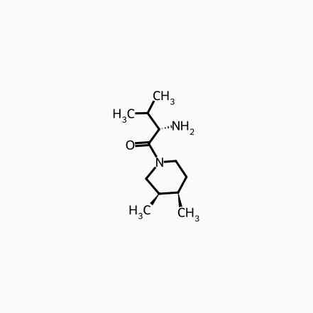 CC(C)[C@H](N)C(=O)N1CC[C@@H](C)[C@@H](C)C1